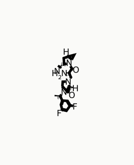 C[C@H](c1cc(F)cc(F)c1)N1C(=O)[C@@H]2CC1CN2C[C@H](N)C(=O)N1C2C[C@H]2C[C@H]1C#N